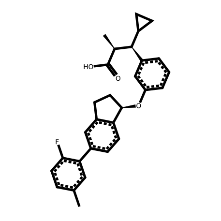 Cc1ccc(F)c(-c2ccc3c(c2)CC[C@H]3Oc2cccc([C@H](C3CC3)[C@H](C)C(=O)O)c2)c1